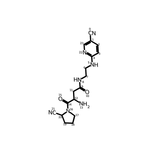 N#Cc1ccc(NCCNC(=O)CC(N)C(=O)N2CCCC2C#N)nc1